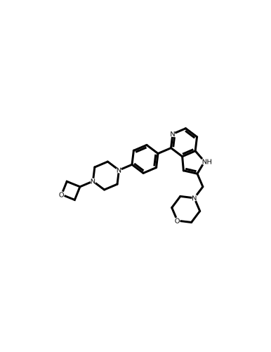 c1cc2[nH]c(CN3CCOCC3)cc2c(-c2ccc(N3CCN(C4COC4)CC3)cc2)n1